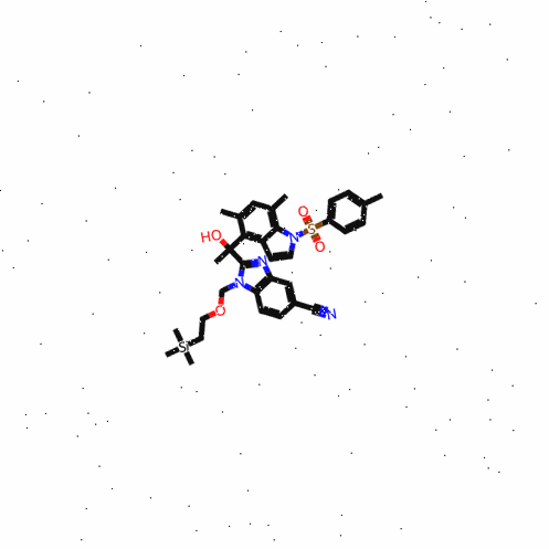 Cc1ccc(S(=O)(=O)n2ccc3c(C(C)(O)c4nc5cc(C#N)ccc5n4COCC[Si](C)(C)C)c(C)cc(C)c32)cc1